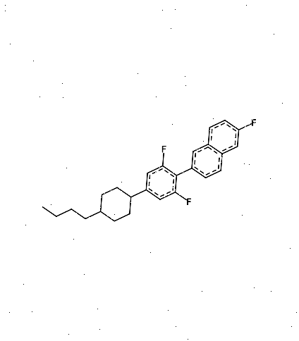 CCCCC1CCC(c2cc(F)c(-c3ccc4cc(F)ccc4c3)c(F)c2)CC1